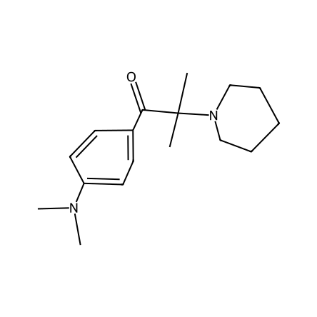 CN(C)c1ccc(C(=O)C(C)(C)N2CCCCC2)cc1